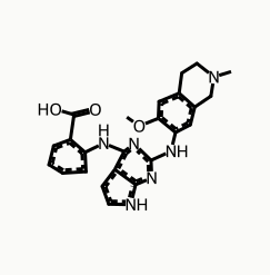 COc1cc2c(cc1Nc1nc(Nc3ccccc3C(=O)O)c3cc[nH]c3n1)CN(C)CC2